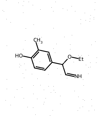 CCOC(C=N)c1ccc(O)c(C)c1